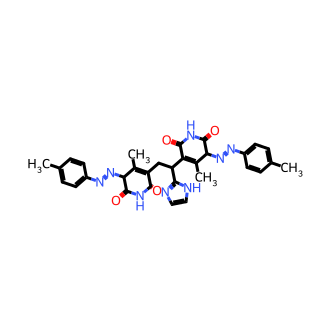 CC1=C(CC(C2=C(C)C(N=Nc3ccc(C)cc3)C(=O)NC2=O)c2ncc[nH]2)C(=O)NC(=O)C1N=Nc1ccc(C)cc1